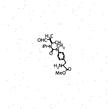 COC(=O)C(N)Cc1ccc(N(C)C(=O)N(/C(C)=C(/C)C=O)C(C)C)cc1